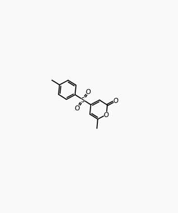 Cc1ccc(S(=O)(=O)c2cc(C)oc(=O)c2)cc1